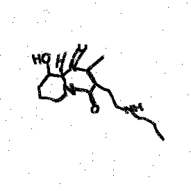 CCCNCCC1=C(C)N[C@H]2C(O)CCCN2C1=O